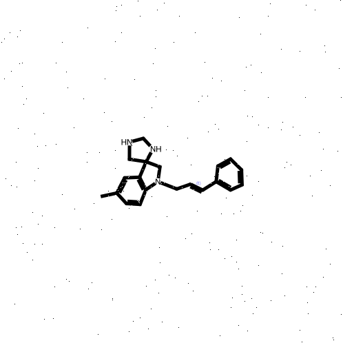 Cc1ccc2c(c1)C1(CNCN1)CN2C/C=C/c1ccccc1